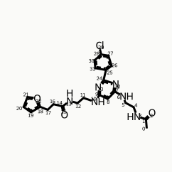 CC(=O)NCCNc1cc(NCCNC(=O)CCc2ccco2)nc(-c2ccc(Cl)cc2)n1